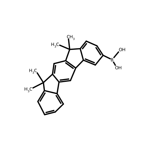 CC1(C)c2ccccc2-c2cc3c(cc21)C(C)(C)c1ccc(B(O)O)cc1-3